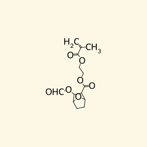 C=C(C)C(=O)OCCOC(=O)C1C2CCC(O2)C1OC=O